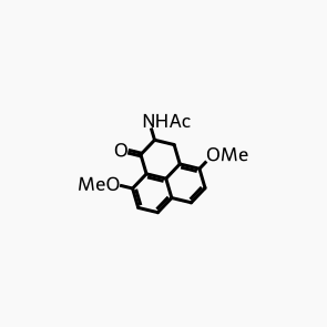 COc1ccc2ccc(OC)c3c2c1CC(NC(C)=O)C3=O